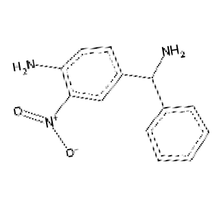 Nc1ccc(C(N)c2ccccc2)cc1[N+](=O)[O-]